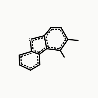 Cc1ccc2oc3ccccc3c2c1C